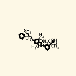 Cc1cc(OC[C@@H]2CN(C)c3ccccc3O2)cc(C)c1C(=O)Nc1cccc(C(C)(C)C(=O)O)c1